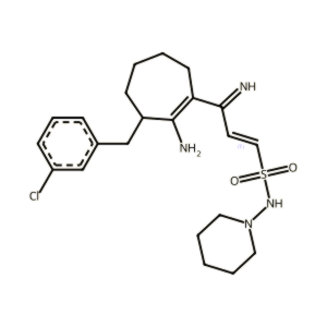 N=C(/C=C/S(=O)(=O)NN1CCCCC1)C1=C(N)C(Cc2cccc(Cl)c2)CCCC1